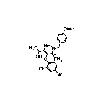 COc1ccc(Cn2cnc(C(C)O)c(Oc3c(C)cc(Br)cc3Cl)c2=O)cc1